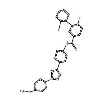 O=C(Nc1ccc(-c2ncn(-c3ccc(OC(F)(F)F)cc3)n2)cc1)c1ccc(F)c(-c2ccccc2F)c1